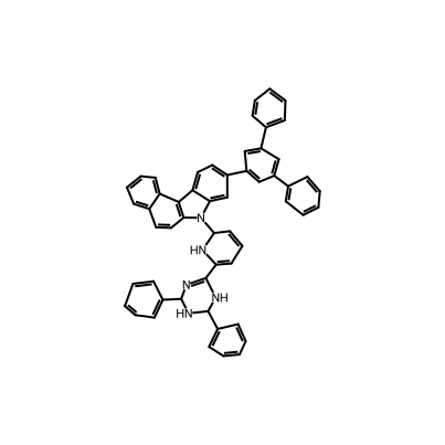 C1=CC(n2c3cc(-c4cc(-c5ccccc5)cc(-c5ccccc5)c4)ccc3c3c4ccccc4ccc32)NC(C2=NC(c3ccccc3)NC(c3ccccc3)N2)=C1